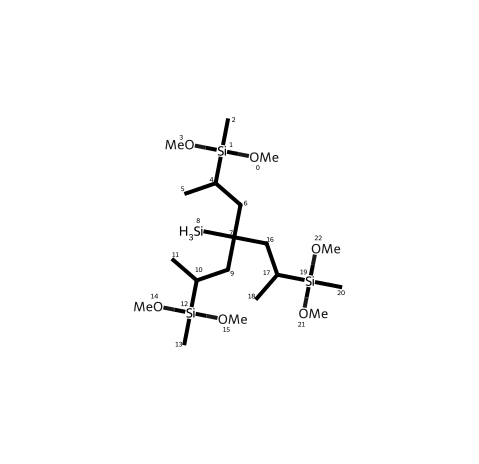 CO[Si](C)(OC)C(C)CC([SiH3])(CC(C)[Si](C)(OC)OC)CC(C)[Si](C)(OC)OC